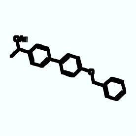 CC(=O)OC(C)c1ccc(-c2ccc(OCc3ccccc3)cc2)cc1